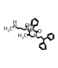 C=C(CN(C)CCCNC)CN(CCC(c1ccccc1)c1ccccc1)C(=O)Nc1ccccc1